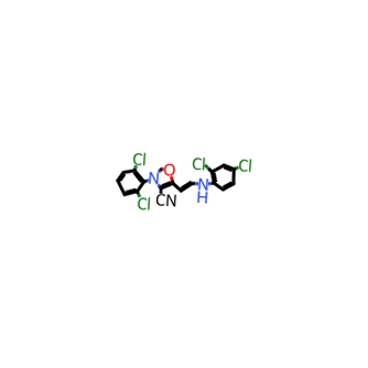 N#CC1=C(C=CNc2ccc(Cl)cc2Cl)OCN1c1c(Cl)cccc1Cl